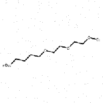 CCCCCCCCCCCCO[CH]COCCOCC